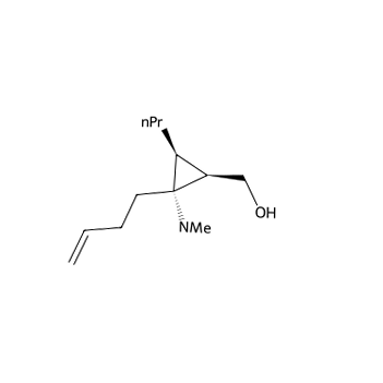 C=CCC[C@]1(NC)[C@H](CO)[C@@H]1CCC